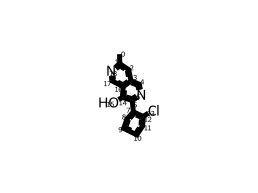 Cc1cc2cnc(-c3ccccc3Cl)c(O)c2cn1